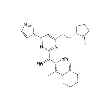 C=C1CCCCC1/C(C)=C(\CCC)C(=N)c1nc(CC[C@@H]2CCCN2C)cc(-n2ccnc2)n1